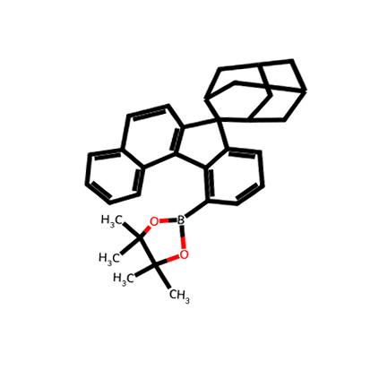 CC1(C)OB(c2cccc3c2-c2c(ccc4ccccc24)C32C3CC4CC(C3)CC2C4)OC1(C)C